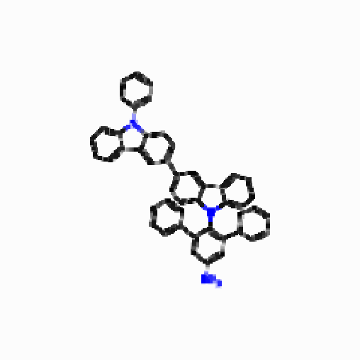 Nc1cc(-c2ccccc2)c(-n2c3ccccc3c3cc(-c4ccc5c(c4)c4ccccc4n5-c4ccccc4)ccc32)c(-c2ccccc2)c1